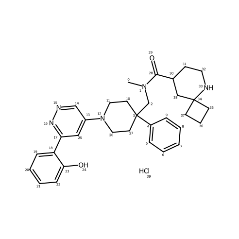 CN(CC1(c2ccccc2)CCN(c2cnnc(-c3ccccc3O)c2)CC1)C(=O)C1CCNC2(CCC2)C1.Cl